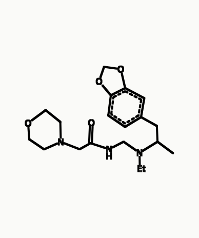 CCN(CNC(=O)CN1CCOCC1)C(C)Cc1ccc2c(c1)OCO2